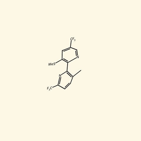 CSc1cc(C(F)(F)F)cnc1-c1nc(C(F)(F)F)ccc1C